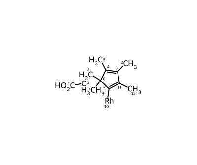 CC(=O)O.CC1=C(C)C(C)(C)[C]([Rh])=C1C